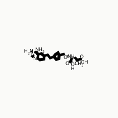 C=C(C[C@H](NOCc1ccc(CCC2=CC3=C(N)N(N)C=NC3C=C2)cc1)C(=O)O)C(=O)O